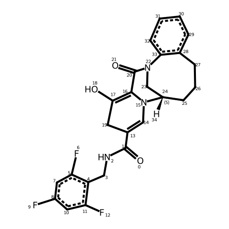 O=C(NCc1c(F)cc(F)cc1F)C1=CN2C(=C(O)C1)C(=O)N1C[C@@H]2CCCc2ccccc21